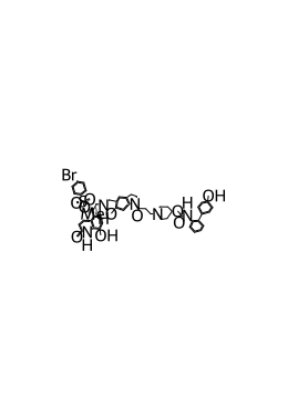 COc1cc2c(cc1CNC[C@H](OS(=O)(=O)c1ccc(Br)cc1)c1ccc(O)c3[nH]c(=O)ccc13)CCN2C(=O)CCN1CCC(OC(=O)Nc2ccccc2-c2ccc(O)cc2)CC1